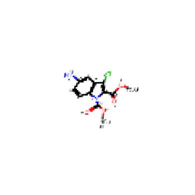 CC(C)(C)OC(=O)c1c(Cl)c2cc(N)ccc2n1C(=O)OC(C)(C)C